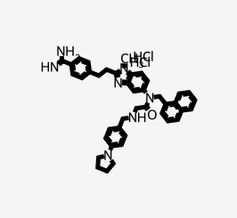 Cl.Cl.Cn1c(CCc2ccc(C(=N)N)cc2)nc2cc(N(Cc3cccc4ccccc34)C(=O)CNCc3ccc(N4CCCC4)cc3)ccc21